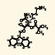 C=C(C)C(=O)ON(C(=O)OCC1c2ccccc2-c2ccccc21)[C@@H](CCCCN)C(N)=O